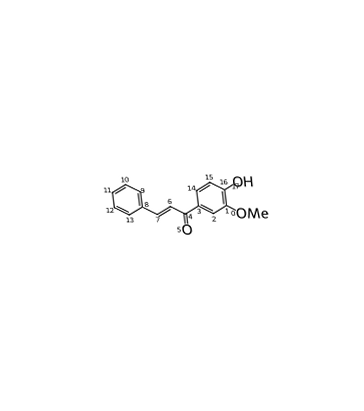 COc1cc(C(=O)C=Cc2ccccc2)ccc1O